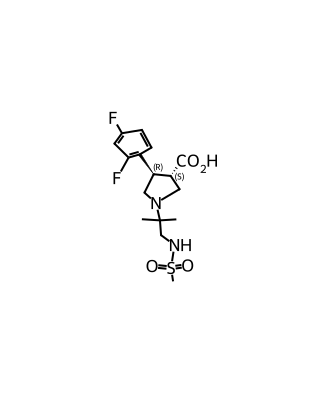 CC(C)(CNS(C)(=O)=O)N1C[C@@H](C(=O)O)[C@H](c2ccc(F)cc2F)C1